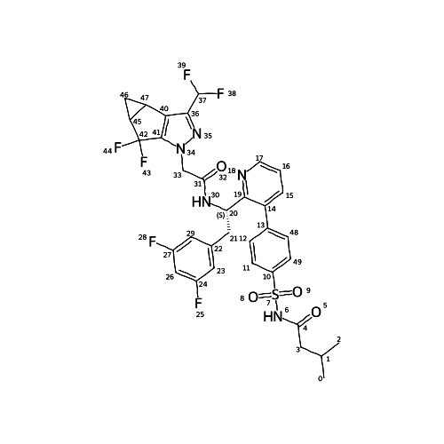 CC(C)CC(=O)NS(=O)(=O)c1ccc(-c2cccnc2[C@H](Cc2cc(F)cc(F)c2)NC(=O)Cn2nc(C(F)F)c3c2C(F)(F)C2CC32)cc1